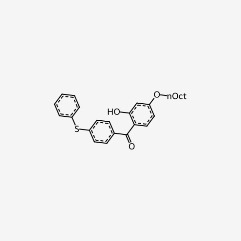 CCCCCCCCOc1ccc(C(=O)c2ccc(Sc3ccccc3)cc2)c(O)c1